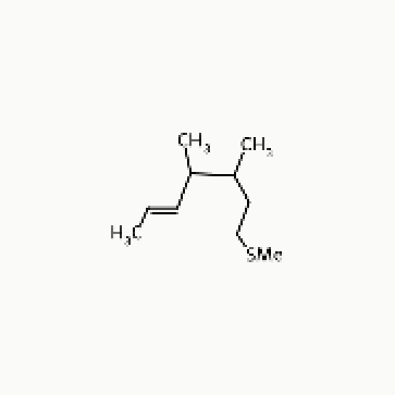 CC=CC(C)C(C)CCSC